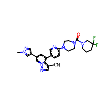 Cn1cc(-c2cc(-c3ccc(N4CCN(C(=O)N5CCCC(F)(F)C5)CC4)nc3)c3c(C#N)cnn3c2)cn1